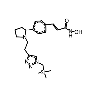 C[Si](C)(C)Cn1cc(CCN2CCC[C@H]2c2ccc(/C=C/C(=O)NO)cc2)nn1